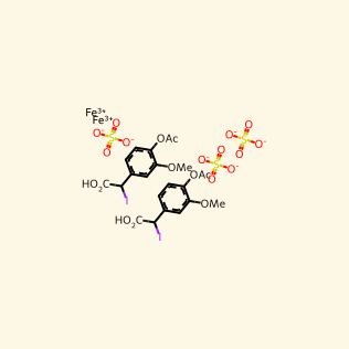 COc1cc(C(I)C(=O)O)ccc1OC(C)=O.COc1cc(C(I)C(=O)O)ccc1OC(C)=O.O=S(=O)([O-])[O-].O=S(=O)([O-])[O-].O=S(=O)([O-])[O-].[Fe+3].[Fe+3]